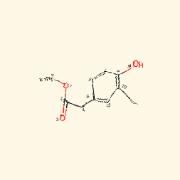 CCCOC(=O)Cc1ccc(O)c(C)c1